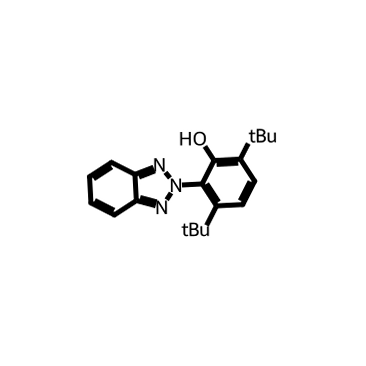 CC(C)(C)c1ccc(C(C)(C)C)c(-n2nc3ccccc3n2)c1O